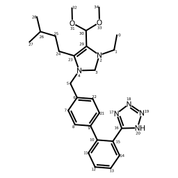 CCN1CN(Cc2ccc(-c3ccccc3-c3nnn[nH]3)cc2)C(CCC(C)C)=C1C(OC)OC